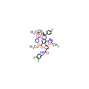 CCOC(=O)c1c([C@@H]2CCCN2C(=O)OC(C)(C)C)nc(CC2(c3ccc(F)cc3)CC2)c(-c2nnc(C)o2)c1-c1ccc(C(=O)NCc2ccc(F)c(F)c2)s1